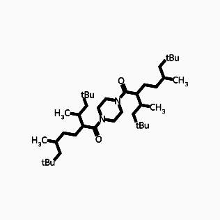 CC(CCC(C(=O)N1CCN(C(=O)C(CCC(C)CC(C)(C)C)C(C)CC(C)(C)C)CC1)C(C)CC(C)(C)C)CC(C)(C)C